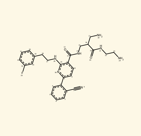 N#Cc1ccccc1-c1ccc(C(=O)NCC(CN)C(=O)NCCN)c(NCCc2cccc(F)c2)n1